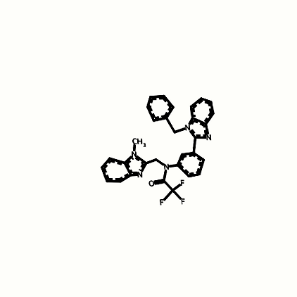 Cn1c(CN(C(=O)C(F)(F)F)c2cccc(-c3nc4ccccc4n3Cc3ccccc3)c2)nc2ccccc21